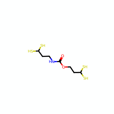 O=C(NCCC(S)S)OCCC(S)S